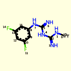 CC(C)NC(=N)NC(=N)Nc1cc(F)cc(F)c1